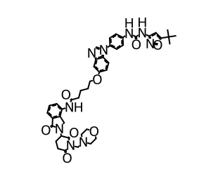 CC(C)(C)c1cc(NC(=O)Nc2ccc(-n3cnc4cc(OCCCCC(=O)Nc5cccc6c5CN(C5CCC(=O)N(CN7CCOCC7)C5=O)C6=O)ccc43)cc2)no1